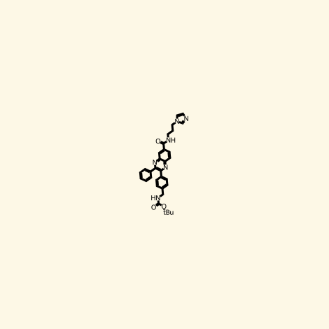 CC(C)(C)OC(=O)NCc1ccc(-c2nc3ccc(C(=O)NCCCn4ccnc4)cc3nc2-c2ccccc2)cc1